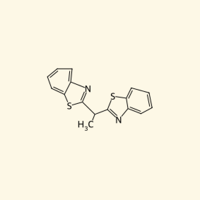 CC(c1nc2ccccc2s1)c1nc2ccccc2s1